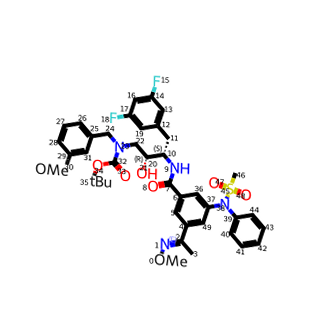 CO/N=C(\C)c1cc(C(=O)N[C@@H](Cc2cc(F)cc(F)c2)[C@H](O)CN(Cc2cccc(OC)c2)C(=O)OC(C)(C)C)cc(N(c2ccccc2)S(C)(=O)=O)c1